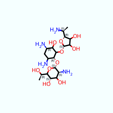 C[C@H](N)[C@H]1O[C@@H](OC2C(O)[C@H](N)CC(N)[C@H]2O[C@H]2OC([C@@H](C)O)[C@@H](O)C(O)[C@@H]2N)C(O)C1O